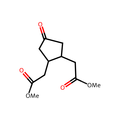 COC(=O)CC1CC(=O)CC1CC(=O)OC